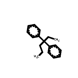 [CH2]CC(CCC)(c1ccccc1)c1ccccc1